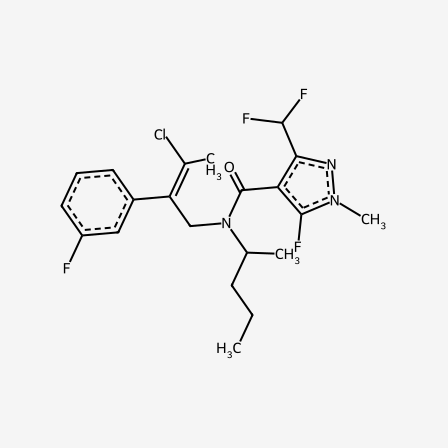 CCCC(C)N(C/C(=C(\C)Cl)c1cccc(F)c1)C(=O)c1c(C(F)F)nn(C)c1F